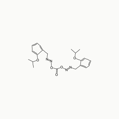 CC(C)Oc1ccccc1CN=NOC(=O)ON=NCc1ccccc1OC(C)C